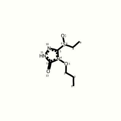 CCCOn1c([S+]([O-])CC)n[nH]c1=O